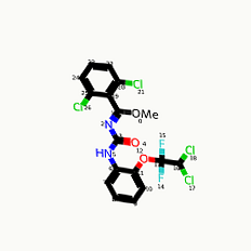 CO/C(=N\C(=O)Nc1ccccc1OC(F)(F)C(Cl)Cl)c1c(Cl)cccc1Cl